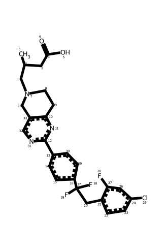 CC(CC(=O)O)CN1CCc2nc(-c3ccc(C(F)(F)Cc4ccc(Cl)cc4F)cc3)ncc2C1